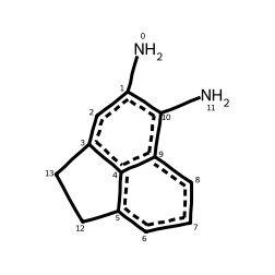 Nc1cc2c3c(cccc3c1N)CC2